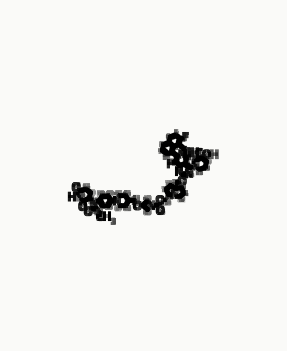 C#Cc1c(F)ccc2cccc(-c3ncc4c(N5CCC[C@@](C)(O)C5)nc(OC[C@@]56CCCN5[C@H](COC(=O)N5CC(OCC7CCN(c8ccc9c(c8)n(C)c(=O)n9C8CCC(=O)NC8=O)CC7)C5)CC6)nc4c3F)c12